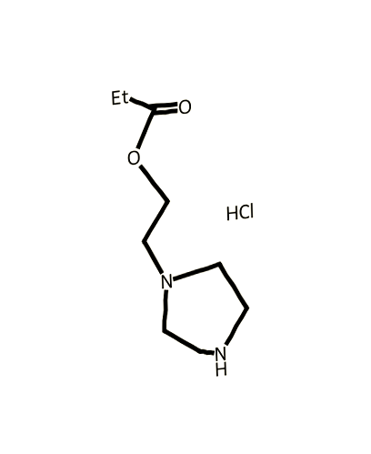 CCC(=O)OCCN1CCNCC1.Cl